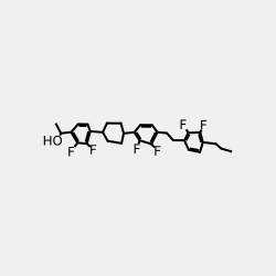 CCCc1ccc(CCc2ccc(C3CCC(c4ccc(C(C)O)c(F)c4F)CC3)c(F)c2F)c(F)c1F